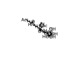 CC(=O)CCCCC(=O)NCCCC[C@@H](C(=O)NCCOC1O[C@H](CO)[C@@H](O)[C@H](O)[C@@H]1O)N(CC(C)=O)CC(C)=O